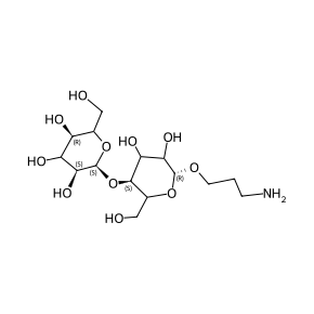 NCCCO[C@@H]1OC(CO)[C@@H](O[C@@H]2OC(CO)[C@H](O)C(O)[C@@H]2O)C(O)C1O